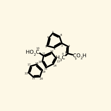 CC(=Cc1ccccc1)C(=O)O.O=C(O)c1ccccc1.c1ccccc1